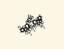 CCC(CC(=O)OC1CC(C)(C)N(OC(C)c2ccccc2)C(C)(C)C1)C(=O)OC1CC(C)(C)N(OC(C)c2ccccc2)C(C)(C)C1